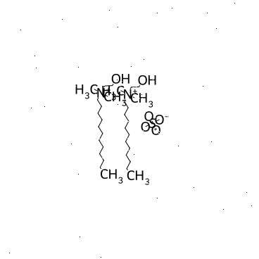 CCCCCCCCCCCC[N+](C)(C)CCO.CCCCCCCCCCCC[N+](C)(C)CCO.O=S(=O)([O-])[O-]